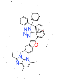 CCc1nc2c(C)cc(C)nc2n1Cc1ccc2oc(-c3ccccc3-c3nnnn3C(c3ccccc3)(c3ccccc3)c3ccccc3)cc2c1